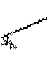 CCCCCCCCCCCCCCCCCCCOCC(COP(O)OCCNC)CC(C)=O